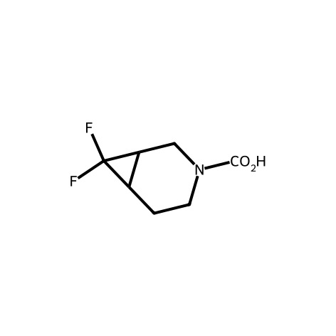 O=C(O)N1CCC2C(C1)C2(F)F